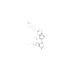 N#Cc1c(N)sc2c(F)cnc(-c3c4c(c5cnc(N6CC(N7CC[C@H](F)C7)C6)nc5c3F)COC4)c12